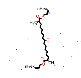 CCCCCC/C=C\COC(=O)C(C)CCCCCCC(O)CCCCCCC(C)C(=O)OC/C=C\CCCCCC